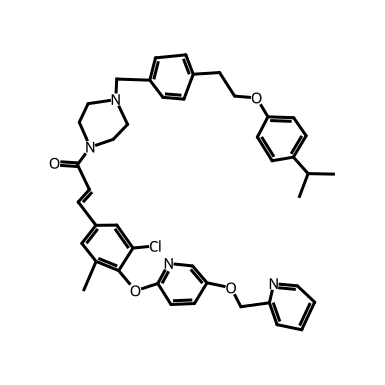 Cc1cc(C=CC(=O)N2CCN(Cc3ccc(CCOc4ccc(C(C)C)cc4)cc3)CC2)cc(Cl)c1Oc1ccc(OCc2ccccn2)cn1